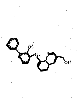 Cc1c(NC2=CC=CC3C=C(CO)C=NC23)cccc1-c1ccccc1